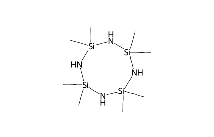 C[Si]1(C)N[Si](C)(C)N[Si](C)(C)N[Si](C)(C)N1